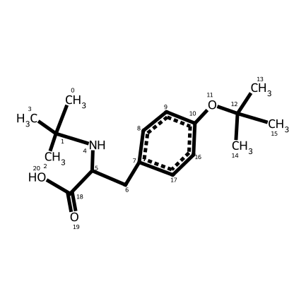 CC(C)(C)NC(Cc1ccc(OC(C)(C)C)cc1)C(=O)O